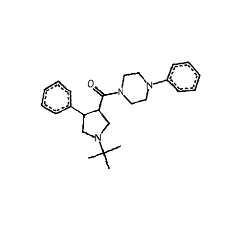 CC(C)(C)N1CC(C(=O)N2CCN(c3ccccc3)CC2)C(c2ccccc2)C1